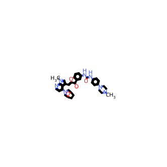 CN1CCN(c2ccc(NC(=O)Nc3ccc4c(c3)C(=O)/C(=C/c3cn(C)c5nccc(N6CC7CCC(C6)O7)c35)O4)cc2)CC1